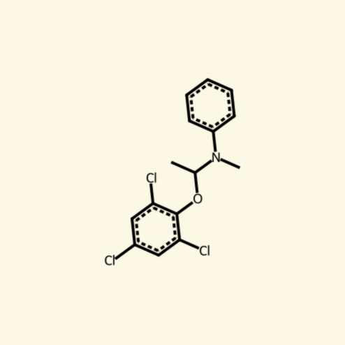 CC(Oc1c(Cl)cc(Cl)cc1Cl)N(C)c1ccccc1